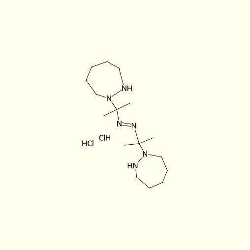 CC(C)(N=NC(C)(C)N1CCCCCN1)N1CCCCCN1.Cl.Cl